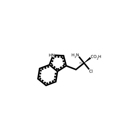 N[C@](Cl)(Cc1c[nH]c2ccccc12)C(=O)O